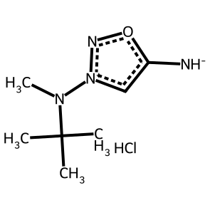 CN([n+]1cc([NH-])on1)C(C)(C)C.Cl